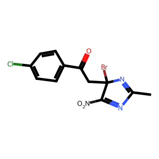 CC1=NC(Br)(CC(=O)c2ccc(Cl)cc2)C([N+](=O)[O-])=N1